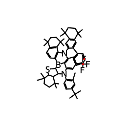 Cc1cc(C(C)(C)C)ccc1N1c2cc(C(F)(F)F)cc3c2B(c2ccc4c(c2N3c2cc3c(cc2-c2ccccc2)C(C)(C)CCC3(C)C)C(C)(C)CCC4(C)C)C2SC3C(C21)C(C)(C)CCC3(C)C